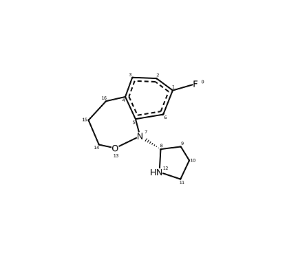 Fc1ccc2c(c1)N([C@@H]1CCCN1)OCCC2